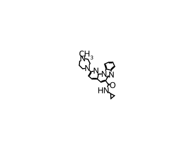 CN1CCCN(c2ccc3cc(C(=O)NC4CC4)c4nc5ccccc5n4c3n2)CC1